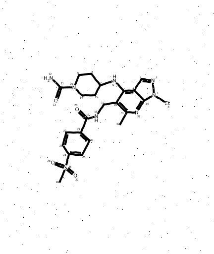 CCn1ncc2c(NC3CCN(C(N)=O)CC3)c(CNC(=O)c3ccc(S(C)(=O)=O)cc3)c(C)nc21